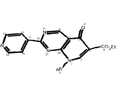 CCCn1cc(C(=O)OCC)c(=O)c2cnc(-c3ccncc3)nc21